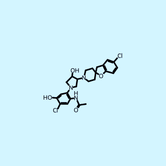 CC(=O)Nc1cc(Cl)c(O)cc1N1CC(O)C(N2CCC3(CC2)Cc2cc(Cl)ccc2O3)C1